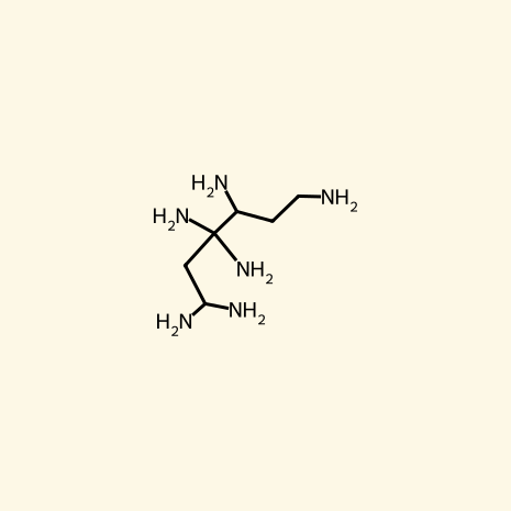 NCCC(N)C(N)(N)CC(N)N